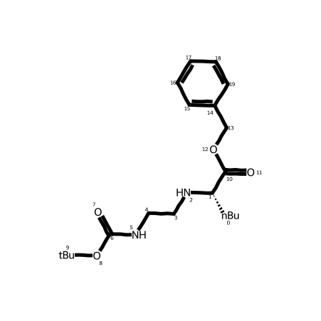 CCCC[C@H](NCCNC(=O)OC(C)(C)C)C(=O)OCc1ccccc1